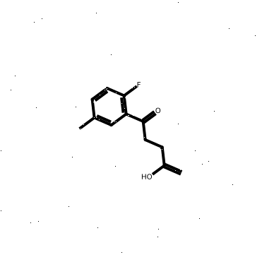 C=C(O)CCC(=O)c1cc(C)ccc1F